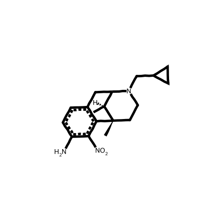 C[C@H]1C2Cc3ccc(N)c([N+](=O)[O-])c3[C@@]1(C)CCN2CC1CC1